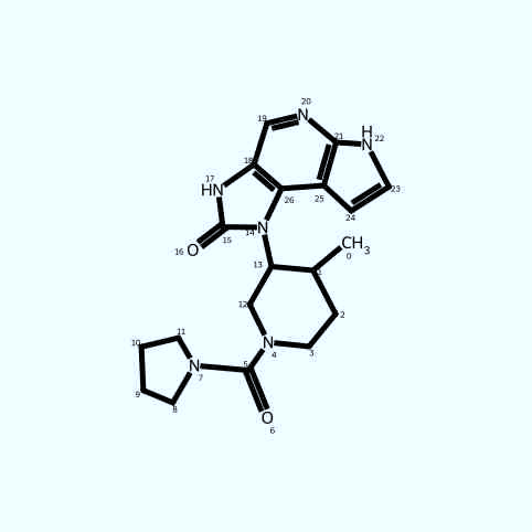 CC1CCN(C(=O)N2CCCC2)CC1n1c(=O)[nH]c2cnc3[nH]ccc3c21